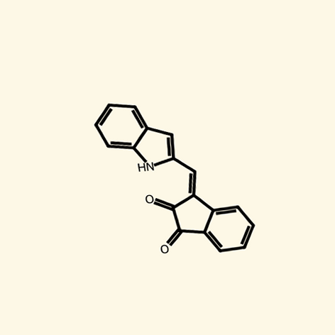 O=C1C(=O)c2ccccc2C1=Cc1cc2ccccc2[nH]1